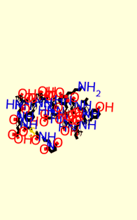 CC[C@H](C)[C@H](NC(=O)[C@H](CO)NC(=O)[C@H](Cc1ccc(O)cc1)NC(=O)[C@H](CC(=O)O)NC(=O)[C@H](CO)NC(=O)[C@@H](NC(=O)[C@H](Cc1ccccc1)NC(=O)[C@@H](NC(=O)CNC(=O)[C@H](CCC(=O)O)NC(=O)CSCC(=O)NCCN1C(=O)CCC1=O)[C@@H](C)O)[C@@H](C)O)C(=O)N[C@@H](Cc1ccc(O)cc1)C(=O)N[C@@H](CC(C)C)C(=O)N[C@@H](CC(=O)O)C(=O)N[C@H](C)CCCCN